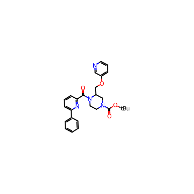 CC(C)(C)OC(=O)N1CCN(C(=O)c2cccc(-c3ccccc3)n2)C(COc2cccnc2)C1